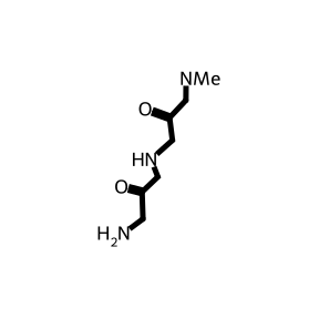 CNCC(=O)CNCC(=O)CN